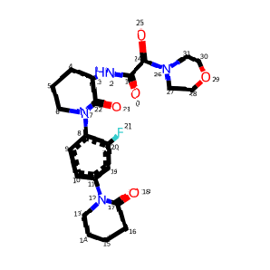 O=C(NC1CCCN(c2ccc(N3CCCCC3=O)cc2F)C1=O)C(=O)N1CCOCC1